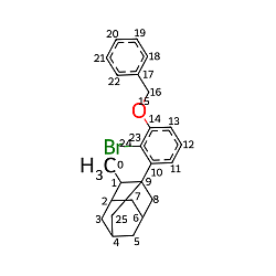 CC1C2CC3CC(C2)CC1(c1cccc(OCc2ccccc2)c1Br)C3